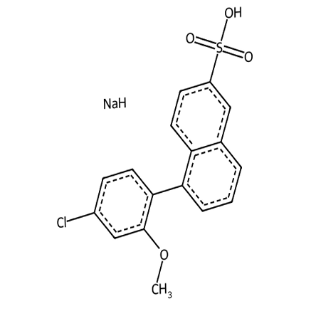 COc1cc(Cl)ccc1-c1cccc2cc(S(=O)(=O)O)ccc12.[NaH]